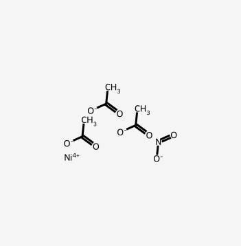 CC(=O)[O-].CC(=O)[O-].CC(=O)[O-].O=N[O-].[Ni+4]